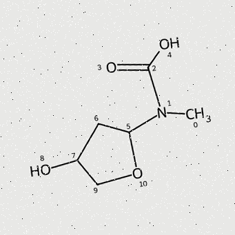 CN(C(=O)O)C1CC(O)CO1